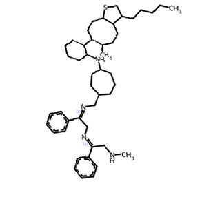 CCCCCC1CSC2CCC(C3CCCCC3NC3CCCC(C/N=C(\C/N=C(\CNC)c4ccccc4)c4ccccc4)CC3)C(C)CCC12